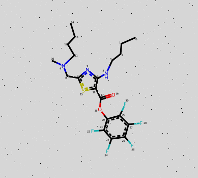 CCCCNc1nc(CN(C)CCCC)sc1C(=O)Oc1c(F)c(F)c(F)c(F)c1F